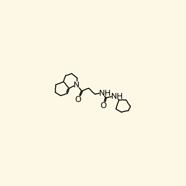 O=C(NCCC(=O)N1CCCC2CCCC=C21)NC1CCCCC1